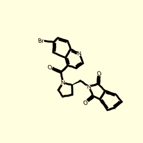 O=C1c2ccccc2C(=O)N1C[C@H]1CCCN1C(=O)c1ccnc2ccc(Br)cc12